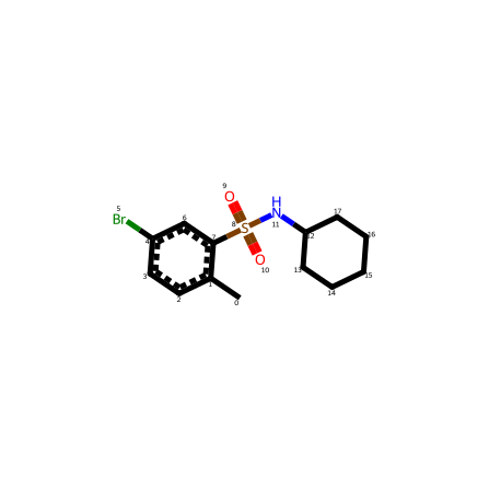 Cc1ccc(Br)cc1S(=O)(=O)NC1CCCCC1